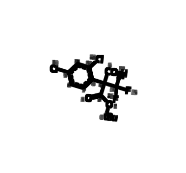 CC(C)(C)OC(=O)C(C(=O)O)(c1ccc(Cl)cc1Cl)C(F)(F)Br